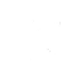 C=CC(C(N)=O)C(=O)CO